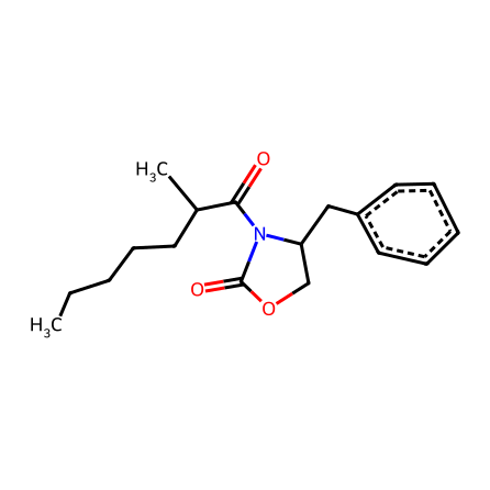 CCCCCC(C)C(=O)N1C(=O)OCC1Cc1ccccc1